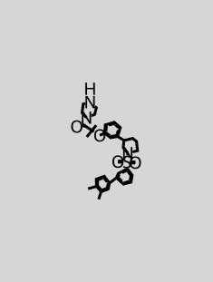 Cc1ccc(-c2cccc(S(=O)(=O)N3CCCC(c4cccc(OC(C)(C)C(=O)N5CCNCC5)c4)C3)c2)cc1C